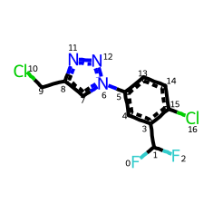 FC(F)c1cc(-n2cc(CCl)nn2)ccc1Cl